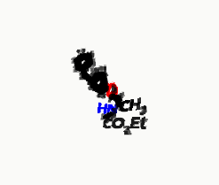 CCOC(=O)CCNC(C)CCOc1ccc(Cc2ccccc2)cc1